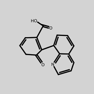 O=C(O)C1=C(c2cccc3cccnc23)C(=O)CC=C1